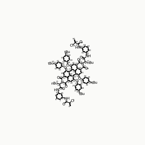 C=C(Cl)C(=O)Nc1cccc(NC(=O)C(CCCC)N2C(=O)c3cc(Oc4ccc(C(C)(C)C)cc4)c4c5c(Oc6ccc(C(C)(C)C)cc6)cc6c7c(cc(Oc8ccc(C(C)(C)C)cc8)c(c8c(Oc9ccc(C(C)(C)C)cc9)cc(c3c48)C2=O)c75)C(=O)N(C(CCCC)C(=O)Nc2cccc(NC(=O)C(=C)Cl)c2)C6=O)c1